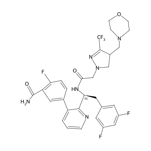 NC(=O)c1cc(-c2cccnc2[C@H](Cc2cc(F)cc(F)c2)NC(=O)CN2CC(CN3CCOCC3)C(C(F)(F)F)=N2)ccc1F